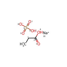 CCC(=O)O.O=S(=O)([O-])O.[Na+]